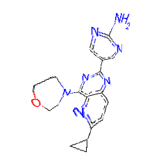 Nc1ncc(-c2nc(N3CCOCC3)c3nc(C4CC4)ccc3n2)cn1